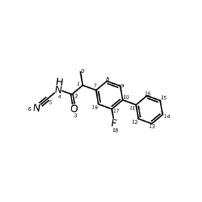 CC(C(=O)NC#N)c1ccc(-c2ccccc2)c(F)c1